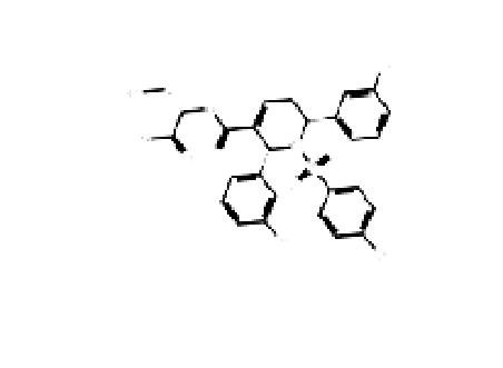 CC(C)C[C@H](NC(=O)C1=CC[C@@H](c2cccc(Cl)c2)N(S(=O)(=O)c2ccc(Cl)cc2)[C@H]1c1cccc(Cl)c1)C(N)=O